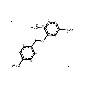 COc1ccc(CSc2cc(OC)nnc2OC)cc1